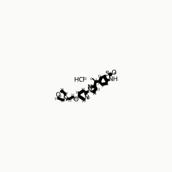 C[C@@H](c1ccc2[nH]c(=O)sc2c1)c1ccn(-c2ccc(OCCN3CCOCC3)cn2)n1.Cl